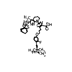 CNC(C)(C)C#Cc1ccc(OCCCc2sc(N3CCCc4c3nnc(Nc3nc5ccccc5s3)c4C)nc2C(=O)O)cc1F